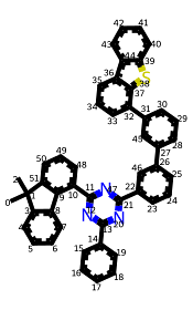 CC1(C)c2ccccc2-c2c(-c3nc(-c4ccccc4)nc(-c4cccc(-c5cccc(-c6cccc7c6sc6ccccc67)c5)c4)n3)cccc21